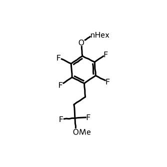 CCCCCCOc1c(F)c(F)c(CCC(F)(F)OC)c(F)c1F